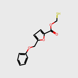 O=C(OCS)c1ccc(COc2ccccc2)o1